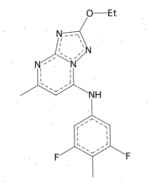 CCOc1nc2nc(C)cc(Nc3cc(F)c(C)c(F)c3)n2n1